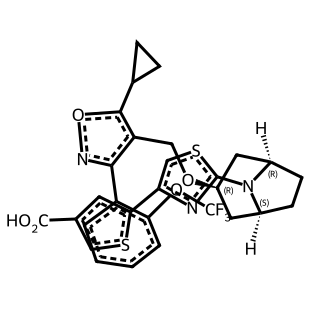 O=C(O)c1csc(-c2csc(N3[C@@H]4CC[C@H]3C[C@@H](OCc3c(-c5ccccc5OC(F)(F)F)noc3C3CC3)C4)n2)c1